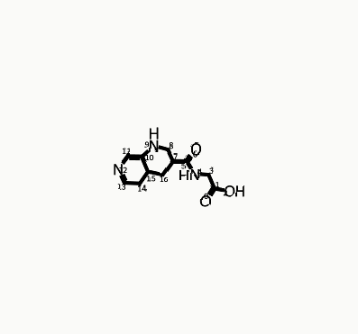 O=C(O)CNC(=O)C1CNC2=CN=CCC2C1